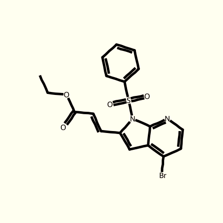 CCOC(=O)C=Cc1cc2c(Br)ccnc2n1S(=O)(=O)c1ccccc1